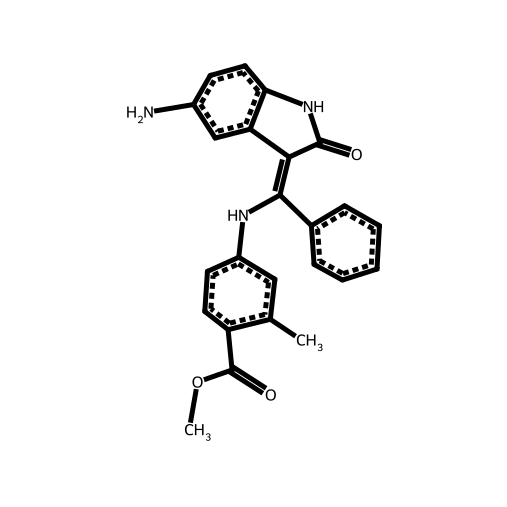 COC(=O)c1ccc(NC(=C2C(=O)Nc3ccc(N)cc32)c2ccccc2)cc1C